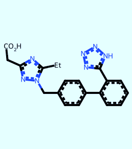 CCc1nc(CC(=O)O)nn1Cc1ccc(-c2ccccc2-c2nnn[nH]2)cc1